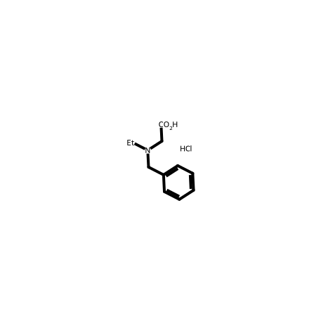 CCN(CC(=O)O)Cc1ccccc1.Cl